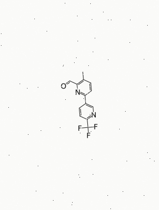 Cc1ccc(-c2ccc(C(F)(F)F)nc2)nc1C=O